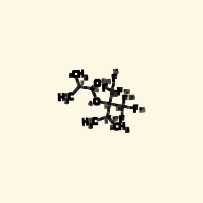 C[C](C)C(OC(=O)C(C)C)(C(F)(F)F)C(F)(F)F